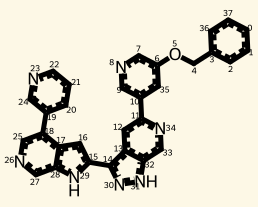 c1ccc(COc2cncc(-c3cc4c(-c5cc6c(-c7cccnc7)cncc6[nH]5)n[nH]c4cn3)c2)cc1